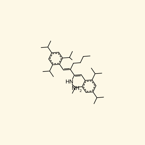 CCCCC(=Cc1c(C(C)C)cc(C(C)C)cc1C(C)C)C(=Cc1c(C(C)C)cc(C(C)C)cc1C(C)C)NN